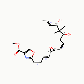 C/C=C/[C@H](O)C(C)(C)[C@@H](O)C/C=C\[C@H]1O[C@H]1/C=C/C=C\c1nc(C(=O)OC)co1